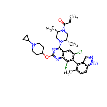 C=CC(=O)N1C[C@H](C)N(c2nc(OC3CCN(C4CC4)CC3)nc3c(F)c(-c4c(C)ccc5[nH]ncc45)c(Cl)cc23)C[C@H]1C